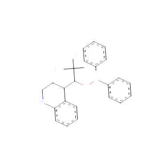 CC(C)(C)C(O[SiH](c1ccccc1)c1ccccc1)C1CCNc2ccccc21